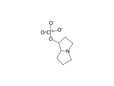 [O-][Cl+3]([O-])([O-])OC1CCN2CCCC12